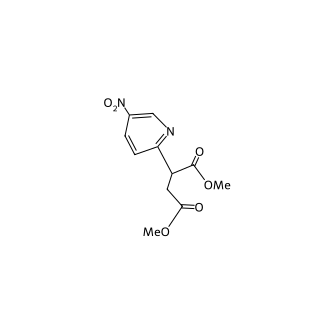 COC(=O)CC(C(=O)OC)c1ccc([N+](=O)[O-])cn1